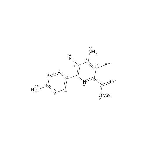 COC(=O)c1nc(-c2ccc(C)cc2)c(F)c(N)c1F